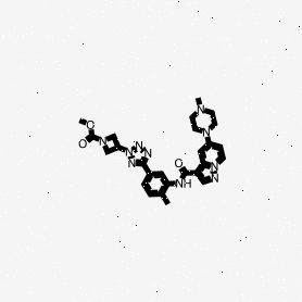 COC(=O)N1CC(n2nnc(-c3ccc(C)c(NC(=O)c4cnn5ccc(N6CCN(C)CC6)cc45)c3)n2)C1